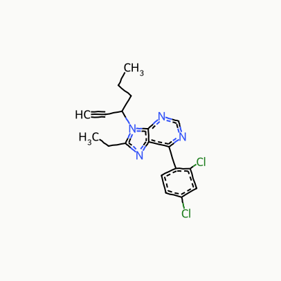 C#CC(CCC)n1c(CC)nc2c(-c3ccc(Cl)cc3Cl)ncnc21